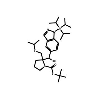 CC(C)OCC1(C(O)c2ccc3c(cnn3[Si](C(C)C)(C(C)C)C(C)C)c2)CCCN1C(=O)OC(C)(C)C